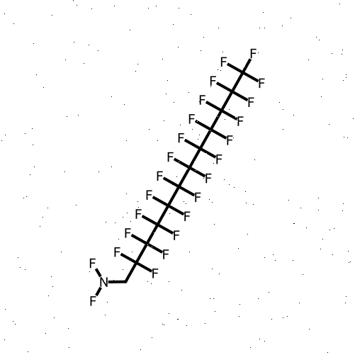 FN(F)CC(F)(F)C(F)(F)C(F)(F)C(F)(F)C(F)(F)C(F)(F)C(F)(F)C(F)(F)C(F)(F)C(F)(F)C(F)(F)F